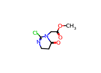 COC(=O)CN1C(=O)CCN=C1Cl